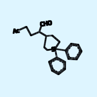 CC(=O)CCC(C=O)C1CC[Si](c2ccccc2)(c2ccccc2)CC1